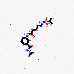 CC(C)NC(=O)c1cccc(NC(=O)CCCCNS(=O)(=O)C(C)C)c1